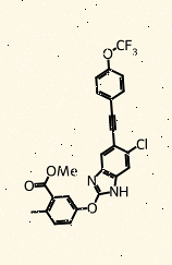 COC(=O)c1cc(Oc2nc3cc(C#Cc4ccc(OC(F)(F)F)cc4)c(Cl)cc3[nH]2)ccc1C